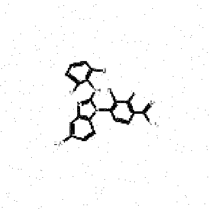 Cc1c(C(N)=O)ccc(-n2c(Nc3c(Cl)cccc3Cl)nc3cc(C(=O)O)ccc32)c1Cl